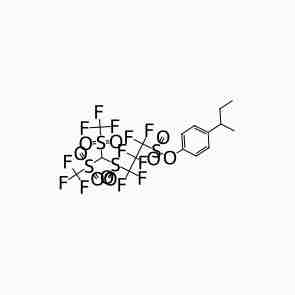 CCC(C)c1ccc(OS(=O)(=O)C(F)(F)C(F)(F)C(F)(F)S(=O)(=O)C(S(=O)(=O)C(F)(F)F)S(=O)(=O)C(F)(F)F)cc1